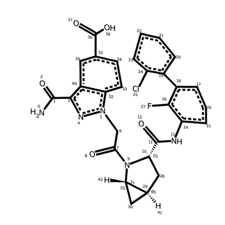 NC(=O)c1nn(CC(=O)N2[C@H](C(=O)Nc3cccc(-c4ccccc4Cl)c3F)C[C@H]3C[C@@H]32)c2ccc(C(=O)O)cc12